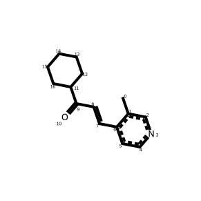 Cc1cnccc1/C=C/C(=O)C1CCCCC1